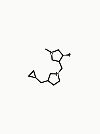 CN1CC(CN2CCC(CC3CC3)C2)[C@H](F)C1